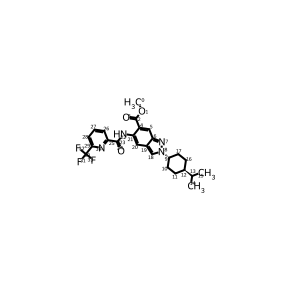 COC(=O)c1cc2nn([C@H]3CC[C@H](C(C)C)CC3)cc2cc1NC(=O)c1cccc(C(F)(F)F)n1